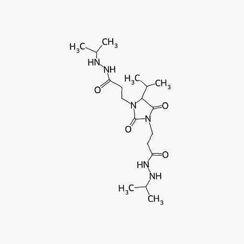 CC(C)NNC(=O)CCN1C(=O)C(C(C)C)N(CCC(=O)NNC(C)C)C1=O